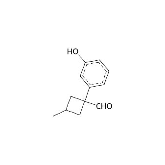 CC1CC(C=O)(c2cccc(O)c2)C1